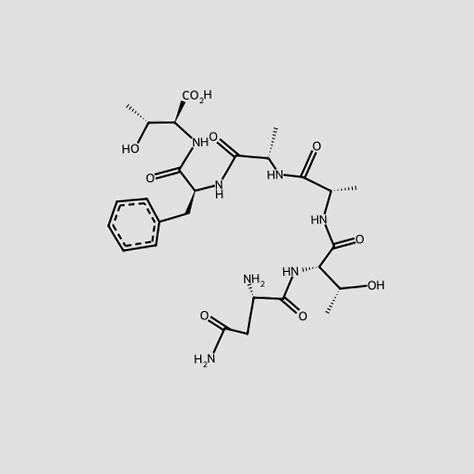 C[C@H](NC(=O)[C@H](C)NC(=O)[C@@H](NC(=O)[C@@H](N)CC(N)=O)[C@@H](C)O)C(=O)N[C@@H](Cc1ccccc1)C(=O)N[C@H](C(=O)O)[C@@H](C)O